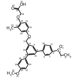 CC[S+]([O-])c1ccc(-c2cc(COc3ccc(OCC(=O)O)c(C)c3)cc(-c3ccc(OC)cc3)c2)cc1